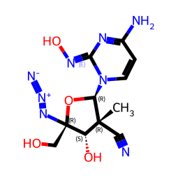 C[C@]1(C#N)[C@H](n2ccc(N)n/c2=N\O)O[C@@](CO)(N=[N+]=[N-])[C@H]1O